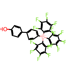 Oc1ccc(-c2ccc([B-](c3c(F)c(F)c(F)c(F)c3F)(c3c(F)c(F)c(F)c(F)c3F)c3c(F)c(F)c(F)c(F)c3F)cc2)cc1